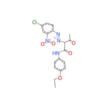 CCOc1ccc(NC(=O)C(/N=N/c2ccc(Cl)cc2[N+](=O)[O-])C(C)=O)cc1